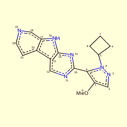 COc1cnn(C2CCC2)c1-c1ncc2c(n1)[nH]c1cnccc12